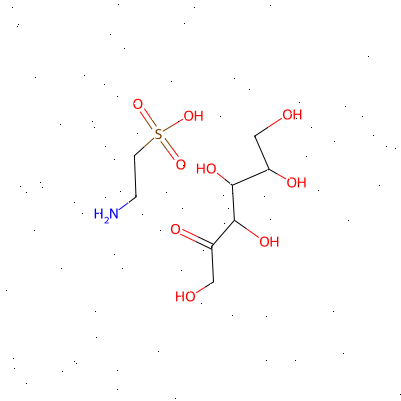 NCCS(=O)(=O)O.O=C(CO)C(O)C(O)C(O)CO